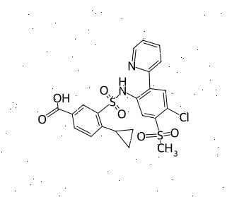 CS(=O)(=O)c1cc(NS(=O)(=O)c2cc(C(=O)O)ccc2C2CC2)c(-c2ccccn2)cc1Cl